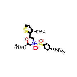 COC(=O)CN(CCc1sccc1C=O)S(=O)(=O)c1ccc(OC)cc1